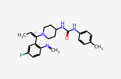 C=Nc1ccc(F)cc1/C(=C\C)N1CCC(NC(=O)Nc2ccc(C)cc2)CC1